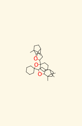 CC1(C)C2CCC1(C)C1OC(C3(OC4(C5CC6C7CCC(C)(C6O5)C7(C)C)CCCCC4)CCCCC3)CC21